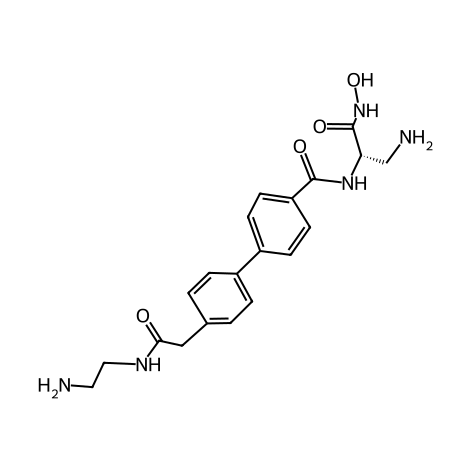 NCCNC(=O)Cc1ccc(-c2ccc(C(=O)N[C@@H](CN)C(=O)NO)cc2)cc1